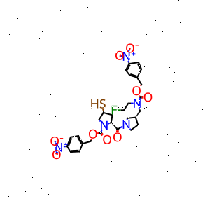 O=C(OCc1ccc([N+](=O)[O-])cc1)N(CCF)C[C@H]1CCN(C(=O)[C@@H]2C[C@H](S)CN2C(=O)OCc2ccc([N+](=O)[O-])cc2)C1